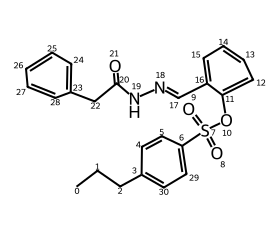 CCCc1ccc(S(=O)(=O)Oc2ccccc2/C=N/NC(=O)Cc2ccccc2)cc1